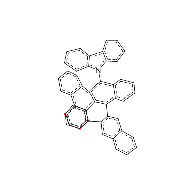 c1ccc(-c2cc3ccccc3cc2-c2c3ccccc3c(-n3c4ccccc4c4ccccc43)c3c4ccccc4c4ccccc4c23)cc1